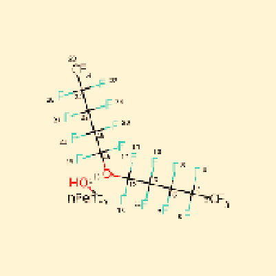 CCCCCO.FC(F)(F)C(F)(F)C(F)(F)C(F)(F)C(F)(F)OC(F)(F)C(F)(F)C(F)(F)C(F)(F)C(F)(F)F